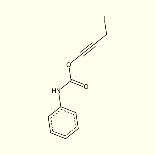 O=C(Nc1ccccc1)OC#CCI